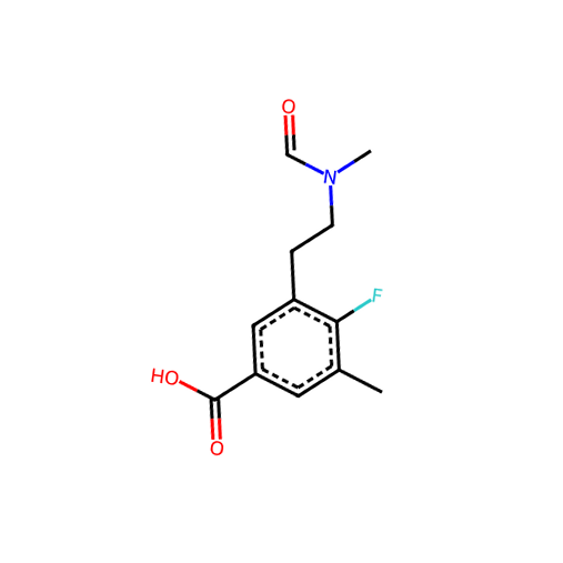 Cc1cc(C(=O)O)cc(CCN(C)C=O)c1F